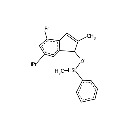 CC1=Cc2c(C(C)C)cc(C(C)C)cc2[CH]1[Zr][SiH](C)c1ccccc1